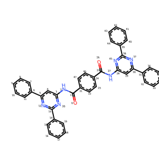 O=C(Nc1cc(-c2ccccc2)nc(-c2ccccc2)n1)c1ccc(C(=O)Nc2cc(-c3ccccc3)nc(-c3ccccc3)n2)cc1